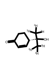 [2H]C([2H])([2H])C(O)([C@@H]1C=CC(=O)CC1)C([2H])([2H])[2H]